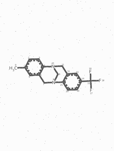 Cc1ccc2c(c1)CN1CN2Cc2cc(C(F)(F)F)ccc21